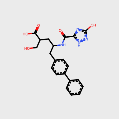 O=C(NC(Cc1ccc(-c2ccccc2)cc1)CC(CO)C(=O)O)c1nc(O)n[nH]1